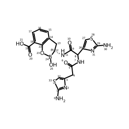 Nc1nc(CC(=O)NC(C(=O)N[C@H]2Cc3cccc(C(=O)O)c3OB2O)c2csc(N)n2)cs1